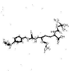 CSSC(CCC(NC(=O)OC(C)(C)C)C(=O)O)CNC(=O)OCc1ccc(N=[N+]=[N-])cc1